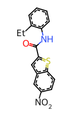 CCc1ccccc1NC(=O)c1cc2cc([N+](=O)[O-])ccc2s1